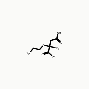 CCCSC(N)(CC(=O)O)C(=O)O